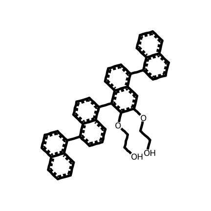 OCCOc1cc2c(-c3cccc4ccccc34)cccc2c(-c2cccc3c(-c4cccc5ccccc45)cccc23)c1OCCO